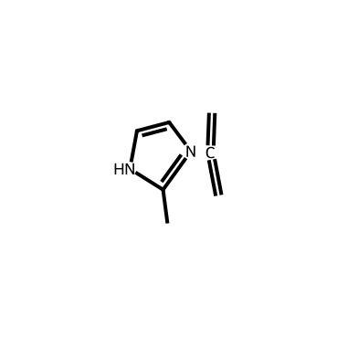 C=C=C.Cc1ncc[nH]1